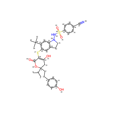 CC(C)C1(CCc2ccc(O)cc2)CC(O)=C(Sc2cc3c(cc2C(C)(C)C)N(NS(=O)(=O)c2ccc(C#N)cc2)CC3)C(=O)O1